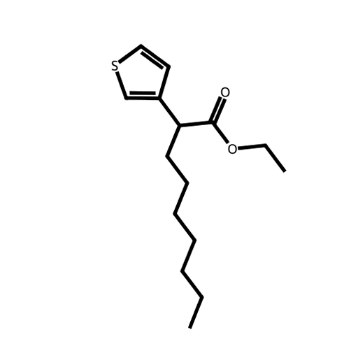 CCCCCCCC(C(=O)OCC)c1ccsc1